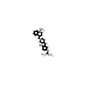 CC(C)Oc1ccc(Br)c(CC2CCN(CC3CCN(C)c4ccccc43)CC2)c1